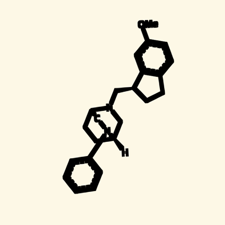 COc1ccc2c(c1)[C@H](CN1C[C@@H]3CCC1CN3c1ccccc1)CC2